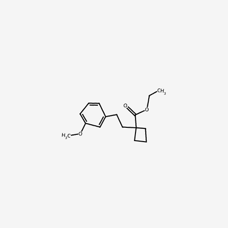 CCOC(=O)C1(CCc2cccc(OC)c2)CCC1